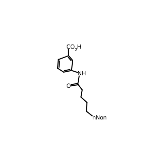 CCCCCCCCCCCCCC(=O)Nc1cccc(C(=O)O)c1